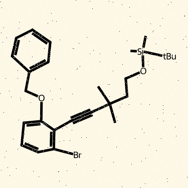 CC(C)(C#Cc1c(Br)cccc1OCc1ccccc1)CCO[Si](C)(C)C(C)(C)C